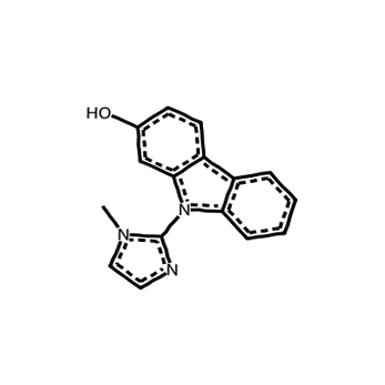 Cn1ccnc1-n1c2ccccc2c2ccc(O)cc21